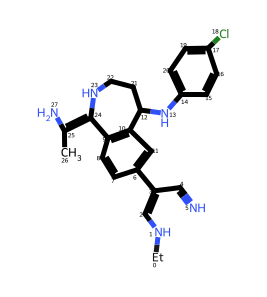 CCN/C=C(\C=N)c1ccc2c(c1)C(Nc1ccc(Cl)cc1)CCN/C2=C(/C)N